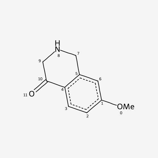 COc1ccc2c(c1)CNCC2=O